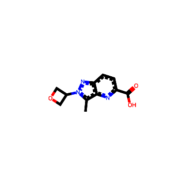 Cc1c2nc(C(=O)O)ccc2nn1C1COC1